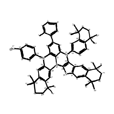 Cc1ccccc1-c1cc2c3c(c1)N(c1ccc4c(c1)C(C)(C)CCC4(C)C)c1c(sc4cc5c(cc14)C(C)(C)CCC5(C)C)B3c1cc3c(cc1N2c1ccc(C(C)(C)C)cc1)C(C)(C)CCC3(C)C